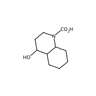 O=C(O)N1CCC(O)C2CCCCC21